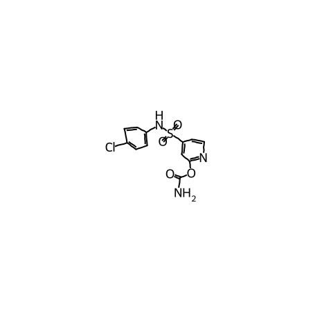 NC(=O)Oc1cc(S(=O)(=O)Nc2ccc(Cl)cc2)ccn1